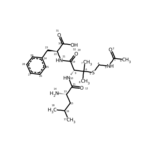 CC(=O)NCSC(C)(C)[C@H](NC(=O)[C@@H](N)CC(C)C)C(=O)N[C@@H](Cc1ccccc1)C(=O)O